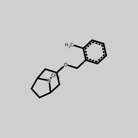 Cc1ccccc1COC1CC2CCC(C1)N2C